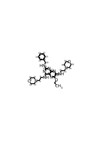 CCOc1nc2c(NCCN3CCOCC3)nc(NCc3ccccc3)nc2nc1NCCN1CCOCC1